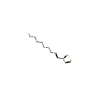 O=C(O)CCCCCCCC=Cc1ccsc1